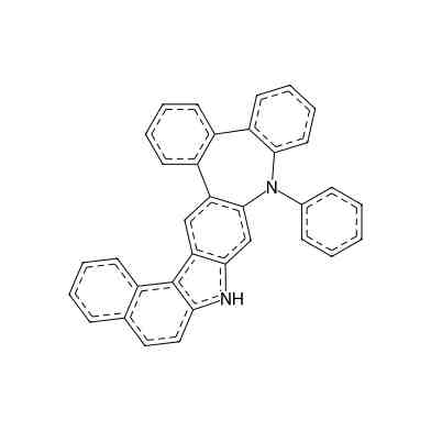 c1ccc(N2c3ccccc3-c3ccccc3-c3cc4c(cc32)[nH]c2ccc3ccccc3c24)cc1